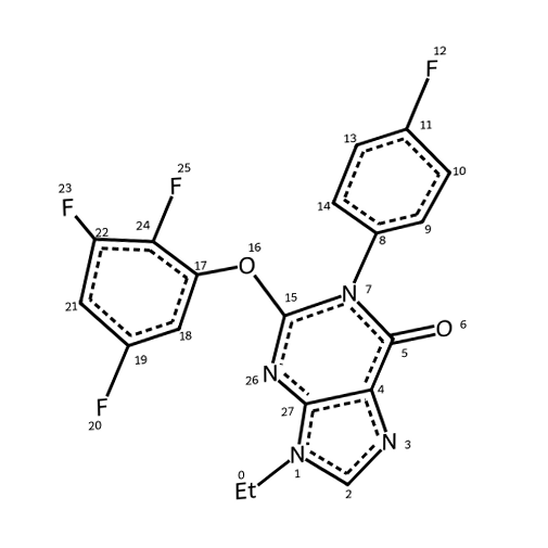 CCn1cnc2c(=O)n(-c3ccc(F)cc3)c(Oc3cc(F)cc(F)c3F)nc21